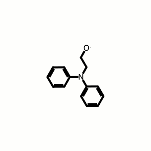 [O]CCN(c1ccccc1)c1ccccc1